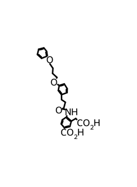 O=C(O)Cc1cc(C(=O)O)ccc1NC(=O)CCc1cccc(OCCCCOc2ccccc2)c1